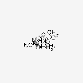 CC(C)(N)C(=O)NC(CCc1ccc(F)cc1CO)C(=O)N1CCC2=NN(CC(F)(F)F)C(=O)C2(Cc2ccccn2)C1